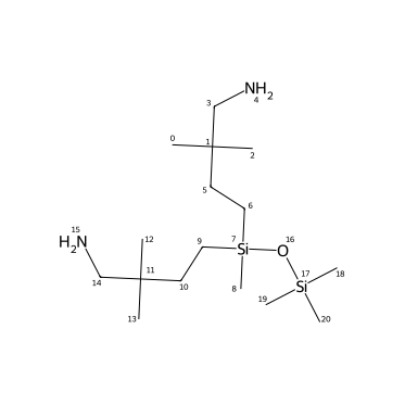 CC(C)(CN)CC[Si](C)(CCC(C)(C)CN)O[Si](C)(C)C